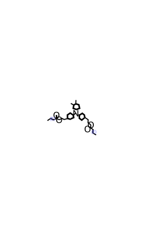 C/C=C/C(=O)OCCc1ccc(N(c2ccc(CCOC(=O)/C=C/C)cc2)c2ccc(C)c(C)c2)cc1